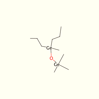 CC[CH2][Ge]([CH3])([CH2]CC)[O][Ge]([CH3])([CH3])[CH3]